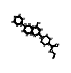 CCOC(=O)C1CCN(c2cc(C)c3cc(-c4ccncc4)ccc3n2)CC1